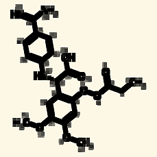 CCC(=O)OOc1cc(OC)c(OC)cc1[C@H](Nc1ccc(C(=N)N)cc1)C(=O)O